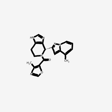 Cc1ncoc1C(=O)N1CCc2[nH]cnc2[C@@H]1c1cc2c(C)cccn2n1